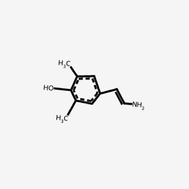 Cc1cc(/C=C/N)cc(C)c1O